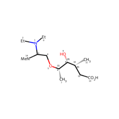 CCN(CC)C(CO[C@@H](C)[C@H](O)[C@H](C)CC(=O)O)NC